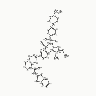 CCOC(=O)C1CCN(c2ccc(S(=O)(=O)NC(=O)c3nc(N4CCc5cccc(C(=O)Nc6nc7ccccc7s6)c5C4)ccc3-c3cnn(CC(C)(C)C)c3C)cc2)CC1